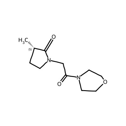 C[C@H]1CCN(CC(=O)N2CCOCC2)C1=O